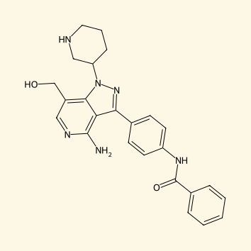 Nc1ncc(CO)c2c1c(-c1ccc(NC(=O)c3ccccc3)cc1)nn2C1CCCNC1